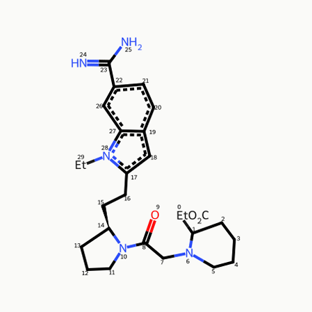 CCOC(=O)C1CCCCN1CC(=O)N1CCC[C@H]1CCc1cc2ccc(C(=N)N)cc2n1CC